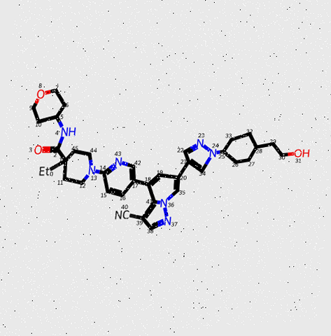 CCC1(C(=O)NC2CCOCC2)CCN(c2ccc(-c3cc(-c4cnn(C5CCC(CCO)CC5)c4)cn4ncc(C#N)c34)cn2)CC1